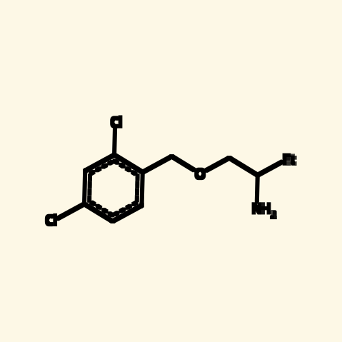 CCC(N)COCc1ccc(Cl)cc1Cl